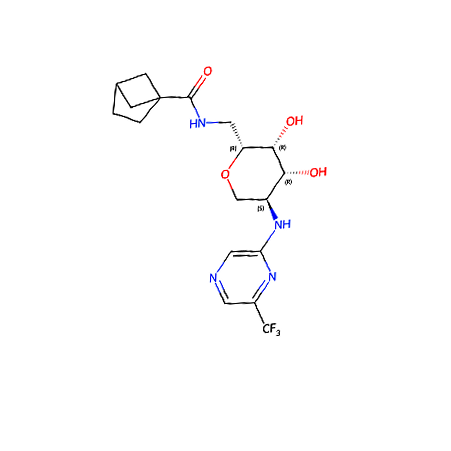 O=C(NC[C@H]1OC[C@H](Nc2cncc(C(F)(F)F)n2)[C@@H](O)[C@H]1O)C12CCC(C1)C2